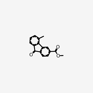 COC(=O)c1ccc2c(c1)-c1c(C)cccc1C2=O